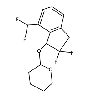 FC(F)c1cccc2c1C(OC1CCCCO1)C(F)(F)C2